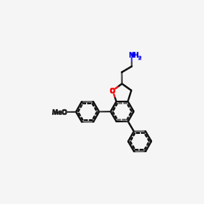 COc1ccc(-c2cc(-c3ccccc3)cc3c2OC(CCN)C3)cc1